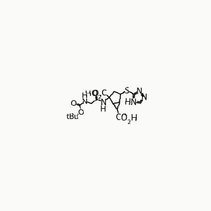 CC(C)(C)OC(=O)NCC(=O)NC1(C(=O)O)CC(Sc2nnc[nH]2)C2C(C(=O)O)C21